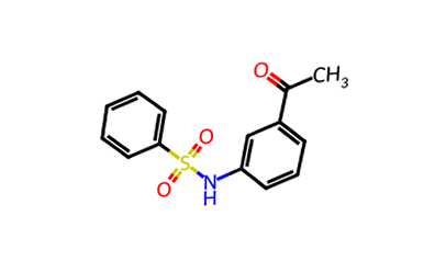 CC(=O)c1cccc(NS(=O)(=O)c2ccccc2)c1